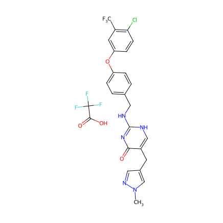 Cn1cc(Cc2c[nH]c(NCc3ccc(Oc4ccc(Cl)c(C(F)(F)F)c4)cc3)nc2=O)cn1.O=C(O)C(F)(F)F